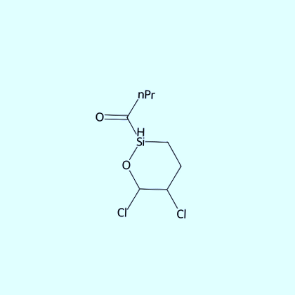 CCCC(=O)[SiH]1CCC(Cl)C(Cl)O1